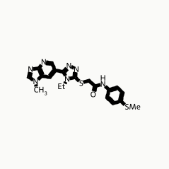 CCn1c(SCC(=O)Nc2ccc(SC)cc2)nnc1-c1cnc2ncn(C)c2c1